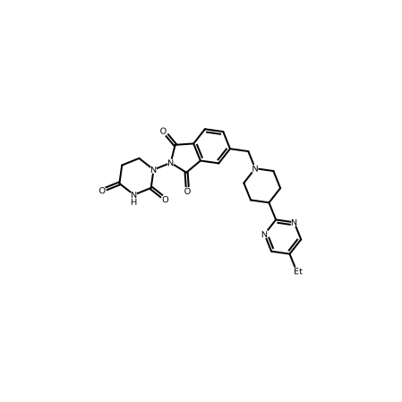 CCc1cnc(C2CCN(Cc3ccc4c(c3)C(=O)N(N3CCC(=O)NC3=O)C4=O)CC2)nc1